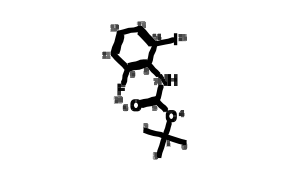 CC(C)(C)OC(=O)Nc1c(F)cccc1I